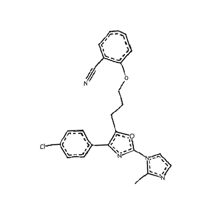 Cc1nccn1-c1nc(-c2ccc(Cl)cc2)c(CCCOc2ccccc2C#N)o1